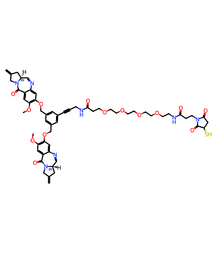 C=C1C[C@H]2C=Nc3cc(OCc4cc(C#CCNC(=O)CCOCCOCCOCCOCCNC(=O)CCN5C(=O)CC(S)C5=O)cc(COc5cc6c(cc5OC)C(=O)N5CC(=C)C[C@H]5C=N6)c4)c(OC)cc3C(=O)N2C1